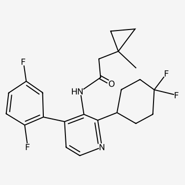 CC1(CC(=O)Nc2c(-c3cc(F)ccc3F)ccnc2C2CCC(F)(F)CC2)CC1